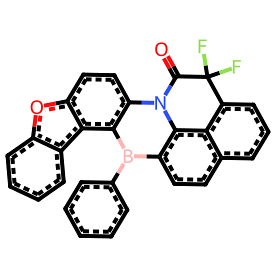 O=C1N2c3ccc4oc5ccccc5c4c3B(c3ccccc3)c3ccc4cccc(c4c32)C1(F)F